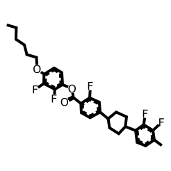 CCCCCCOc1ccc(OC(=O)c2ccc(C3CCC(c4ccc(C)c(F)c4F)CC3)cc2F)c(F)c1F